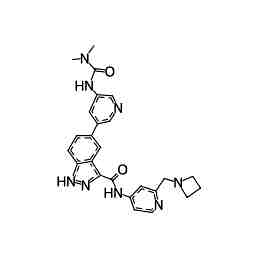 CN(C)C(=O)Nc1cncc(-c2ccc3[nH]nc(C(=O)Nc4ccnc(CN5CCC5)c4)c3c2)c1